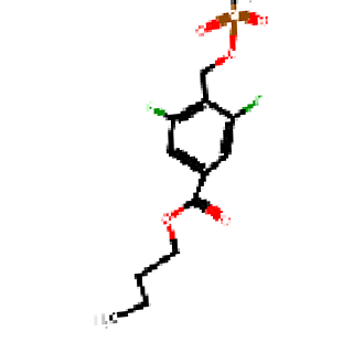 CCCCOC(=O)c1cc(F)c(COS(C)(=O)=O)c(F)c1